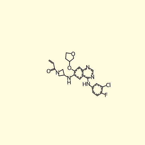 C=CC(=O)N1CC(Nc2cc3c(Nc4ccc(F)c(Cl)c4)ncnc3cc2OC2CCOC2)C1